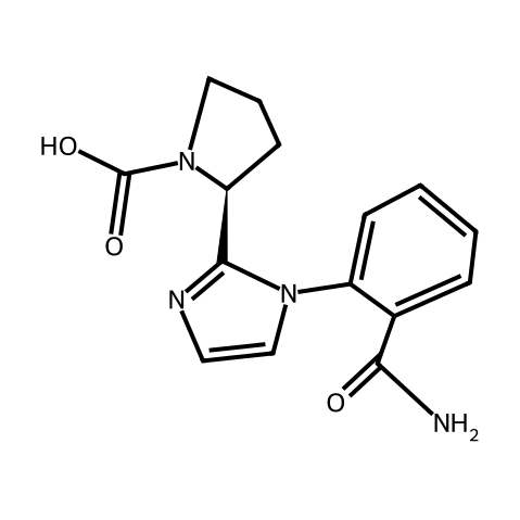 NC(=O)c1ccccc1-n1ccnc1[C@@H]1CCCN1C(=O)O